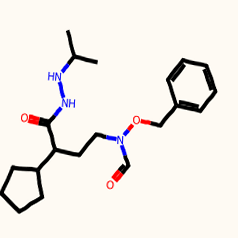 CC(C)NNC(=O)C(CCN(C=O)OCc1ccccc1)C1CCCC1